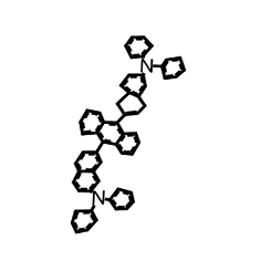 C1=C(c2c3ccccc3c(-c3ccc4ccc(N(c5ccccc5)c5ccccc5)cc4c3)c3ccccc23)Cc2ccc(N(c3ccccc3)c3ccccc3)cc2C1